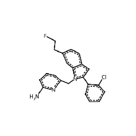 Nc1cccc(Cn2c(-c3ccccc3Cl)cc3ccc(CCF)cc32)n1